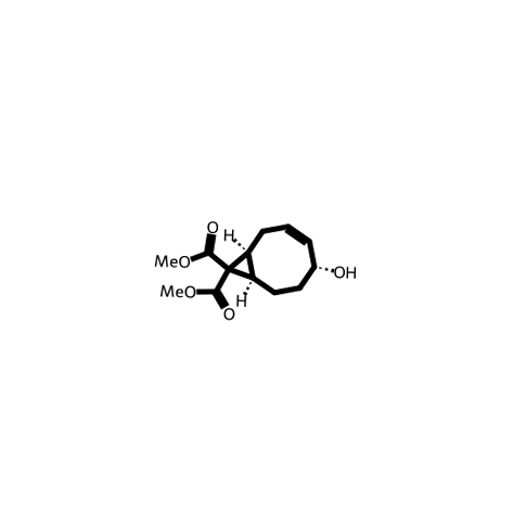 COC(=O)C1(C(=O)OC)[C@@H]2CC[C@@H](O)/C=C\C[C@@H]21